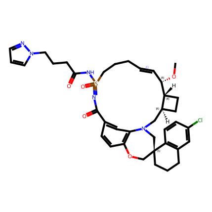 CO[C@H]1/C=C/CCCS(=O)(NC(=O)CCCn2cccn2)=NC(=O)c2ccc3c(c2)N(C[C@@H]2CC[C@H]21)C[C@@]1(CCCc2cc(Cl)ccc21)CO3